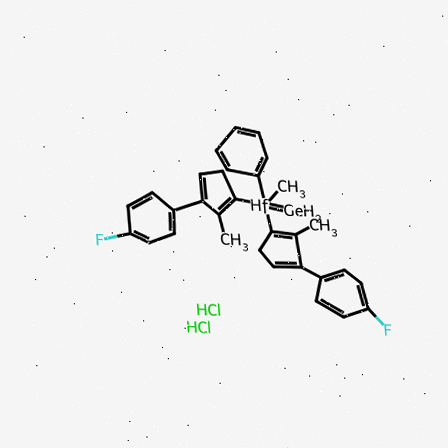 CC1=[C]([Hf]([CH3])(=[GeH2])([C]2=C(C)C(c3ccc(F)cc3)=CC2)[c]2ccccc2)CC=C1c1ccc(F)cc1.Cl.Cl